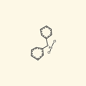 [Cl][Pd][Cl].c1ccc([P]c2ccccc2)cc1